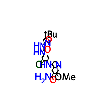 COc1cc2nccc(Nc3ccc(NC(=O)Nc4cc(C(C)(C)C)on4)cc3Cl)c2cc1C(N)=O